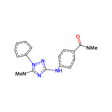 CNC(=O)c1ccc(Nc2nc(NC)n(-c3ccccc3)n2)cc1